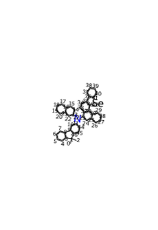 CC1(C)c2ccccc2-c2cc(N(c3ccc4ccccc4c3)c3cc4ccccc4c4c3ccc3c5ccccc5[se]c34)ccc21